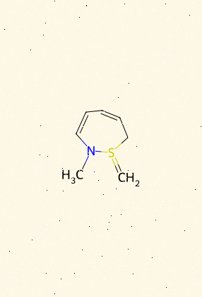 C=S1CC=CC=CN1C